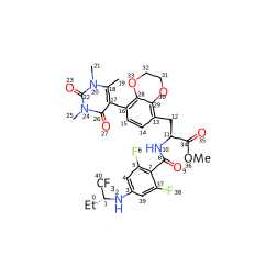 CC[C@@H](Nc1cc(F)c(C(=O)N[C@@H](Cc2ccc(-c3c(C)n(C)c(=O)n(C)c3=O)c3c2OCCO3)C(=O)OC)c(F)c1)C(F)(F)F